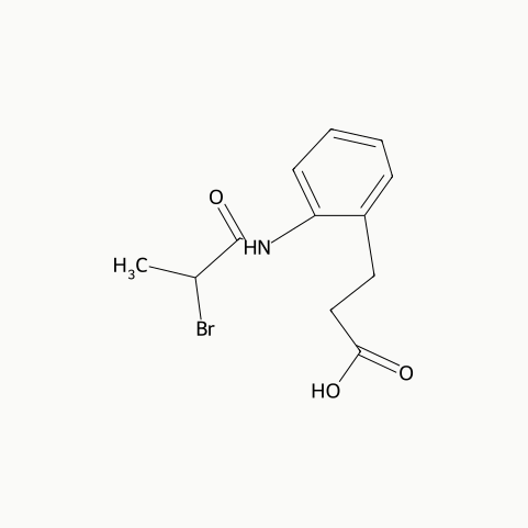 CC(Br)C(=O)Nc1ccccc1CCC(=O)O